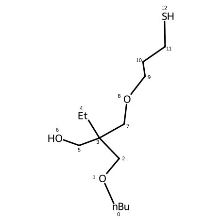 CCCCOCC(CC)(CO)COCCCS